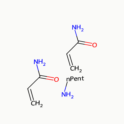 C=CC(N)=O.C=CC(N)=O.CCCCCN